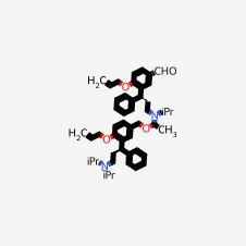 C=CCOc1ccc(COC(C)N(CC[C@H](c2ccccc2)c2cc(C=O)ccc2OCC=C)C(C)C)cc1[C@H](CCN(C(C)C)C(C)C)c1ccccc1